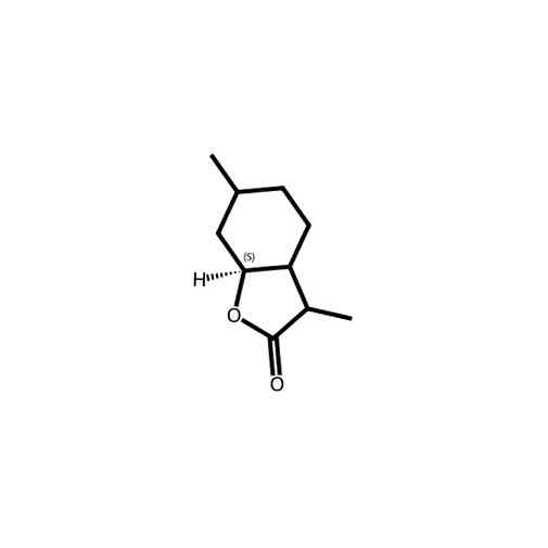 CC1CCC2C(C)C(=O)O[C@H]2C1